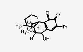 CC(C)C1=CC2=C(C(=O)C1=O)[C@@]13CCCC(C)(C)[C@@H]1[C@@H](OC3=O)[C@@H]2O